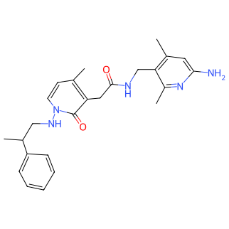 Cc1cc(N)nc(C)c1CNC(=O)Cc1c(C)ccn(NCC(C)c2ccccc2)c1=O